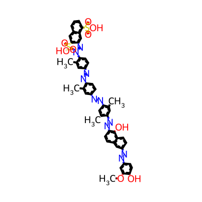 COc1cc(N=Nc2ccc3c(O)c(N=Nc4cc(C)c(N=Nc5ccc(N=Nc6ccc(N=Nc7cc8c(S(=O)(=O)O)cccc8cc7S(=O)(=O)O)c(C)c6)c(C)c5)cc4C)ccc3c2)ccc1O